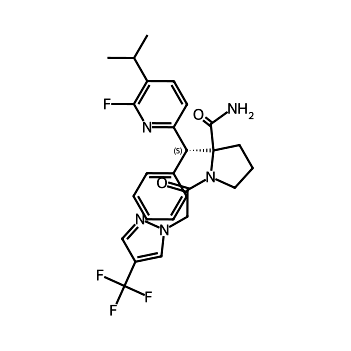 CC(C)c1ccc([C@@H](c2ccccc2)C2(C(N)=O)CCCN2C(=O)Cn2cc(C(F)(F)F)cn2)nc1F